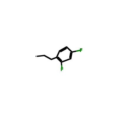 [CH2]CCc1ccc(F)cc1F